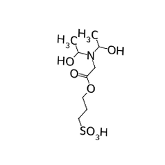 CC(O)N(CC(=O)OCCCS(=O)(=O)O)C(C)O